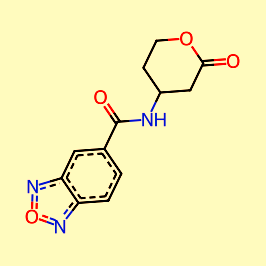 O=C1CC(NC(=O)c2ccc3nonc3c2)CCO1